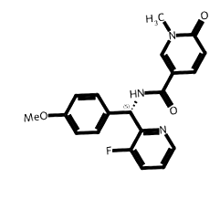 COc1ccc([C@H](NC(=O)c2ccc(=O)n(C)c2)c2ncccc2F)cc1